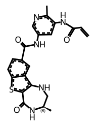 C=CC(=O)Nc1cc(NC(=O)c2ccc3sc4c(c3c2)NC[C@@H](C)NC4=O)cnc1C